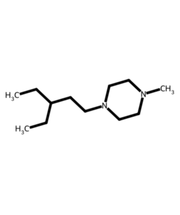 CCC(CC)CCN1CCN(C)CC1